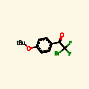 CC(C)(C)Oc1ccc(C(=O)C(F)(F)Br)cc1